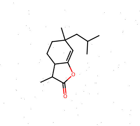 CC(C)CC1(C)C=C2OC(=O)C(C)C2CC1